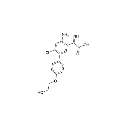 N=C(C(=O)O)c1cc(-c2ccc(OCCO)cc2)c(Cl)cc1N